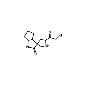 O=C(CCl)C1CC2(CN1)C(=O)NC1CCCC12